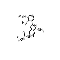 CNc1cncc(-c2cc3cc(NC(=O)[C@@H]4C[C@@H]4F)ncc3c(N)n2)c1C